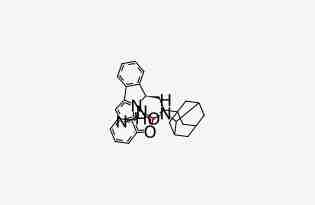 O[C@@H](C[C@@H]1c2ccccc2-c2cncn21)C12CC3CC(C1)C(Nc1nc4ccccc4o1)C(C3)C2